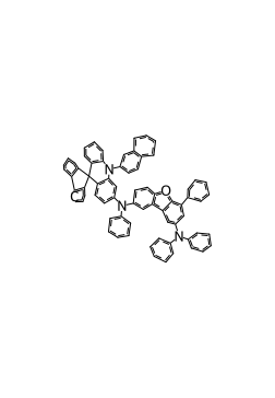 c1ccc(-c2cc(N(c3ccccc3)c3ccccc3)cc3c2oc2ccc(N(c4ccccc4)c4ccc5c(c4)N(c4ccc6ccccc6c4)c4ccccc4C54c5ccccc5-c5ccccc54)cc23)cc1